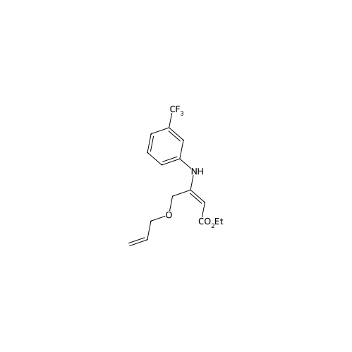 C=CCOC/C(=C\C(=O)OCC)Nc1cccc(C(F)(F)F)c1